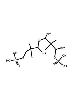 CCCC(OC(CCC)C(C)(C)C(CCC)OP(=O)(O)O)C(C)(C)COP(=O)(O)O